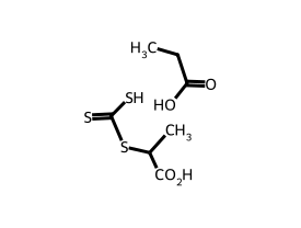 CC(SC(=S)S)C(=O)O.CCC(=O)O